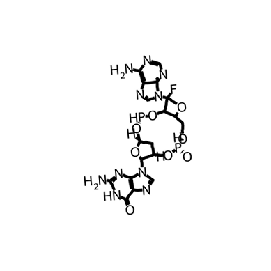 Nc1nc2c(ncn2C2O[C@H]3C[C@@H]2O[PH](=O)OCC2OC(F)(n4cnc5c(N)ncnc54)C2OPO3)c(=O)[nH]1